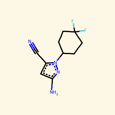 N#Cc1cc(N)nn1C1CCC(F)(F)CC1